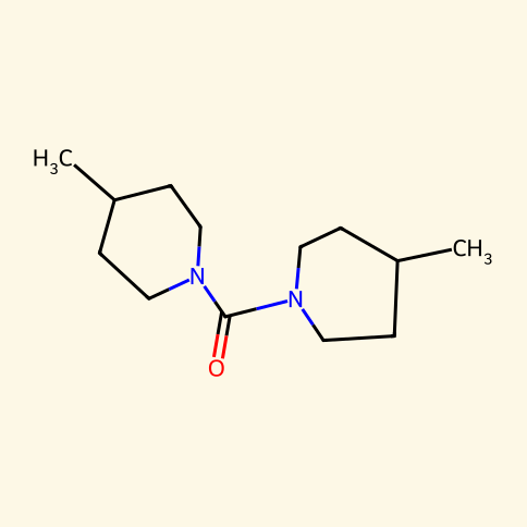 CC1CCN(C(=O)N2CCC(C)CC2)CC1